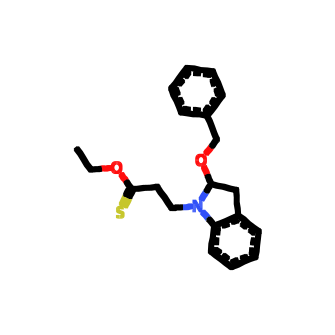 CCOC(=S)CCN1c2ccccc2CC1OCc1ccccc1